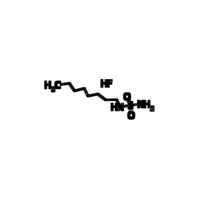 CCCCCCCCNS(N)(=O)=O.F